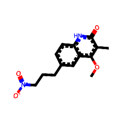 COc1c(C)c(=O)[nH]c2ccc(CCC[N+](=O)[O-])cc12